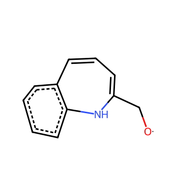 [O]CC1=CC=Cc2ccccc2N1